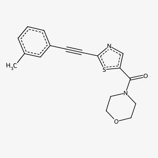 Cc1cccc(C#Cc2ncc(C(=O)N3CCOCC3)s2)c1